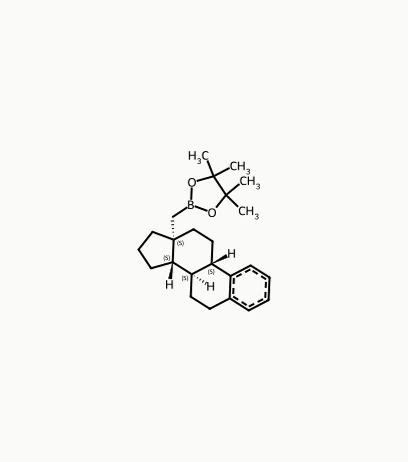 CC1(C)OB(C[C@@]23CCC[C@H]2[C@@H]2CCc4ccccc4[C@H]2CC3)OC1(C)C